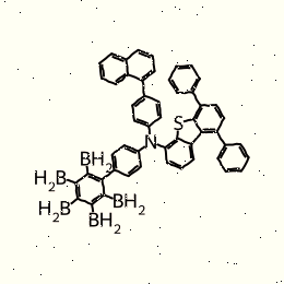 Bc1c(B)c(B)c(-c2ccc(N(c3ccc(-c4cccc5ccccc45)cc3)c3cccc4c3sc3c(-c5ccccc5)ccc(-c5ccccc5)c34)cc2)c(B)c1B